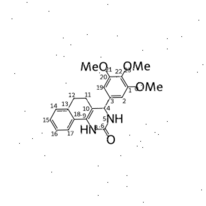 COc1cc(C2NC(=O)NC3=C2CCc2ccccc23)cc(OC)c1OC